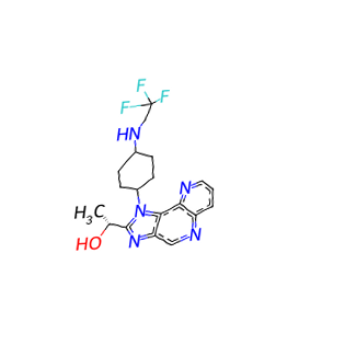 C[C@@H](O)c1nc2cnc3cccnc3c2n1C1CCC(NCC(F)(F)F)CC1